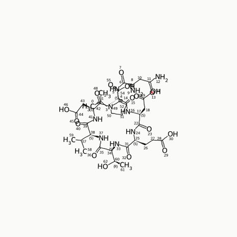 CC(C)C[C@H](NC(=O)[C@@H](N)CC(N)=O)C(=O)N[C@@H](CC(=O)O)C(=O)N[C@@H](CCC(=O)O)C(=O)N[C@H](C(=O)N[C@H](C(=O)N[C@@H](CC(=O)O)C(=O)N1CCC[C@H]1C(=O)O)C(C)C)[C@@H](C)O